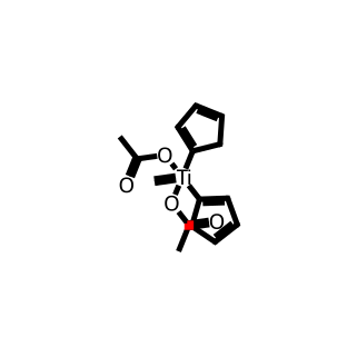 [CH2]=[Ti]([O]C(C)=O)([O]C(C)=O)([C]1=CC=CC1)[C]1=CC=CC1